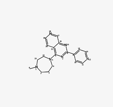 CN1CCCN(c2nc(-c3ccncc3)nc3cnccc23)CC1